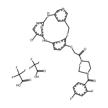 O=C(COc1ccc2cc1CCc1cncc(c1)Nc1ncc(Cl)c(n1)N2)N1CCN(C(=O)c2ccc(F)cc2F)CC1.O=C(O)C(F)(F)F.O=C(O)C(F)(F)F